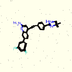 CC1(C)CNC(c2ccc(C#Cc3cc(N)nc4cc(-c5cc(F)cc(F)c5)ccc34)cc2)=N1